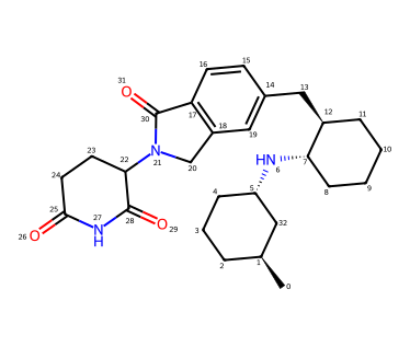 C[C@H]1CCC[C@H](N[C@H]2CCCC[C@@H]2Cc2ccc3c(c2)CN(C2CCC(=O)NC2=O)C3=O)C1